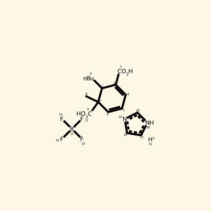 CCCCC1C(C(=O)O)=CC=CC1(C)C(=O)O.F[B-](F)(F)F.[H+].c1c[nH]cn1